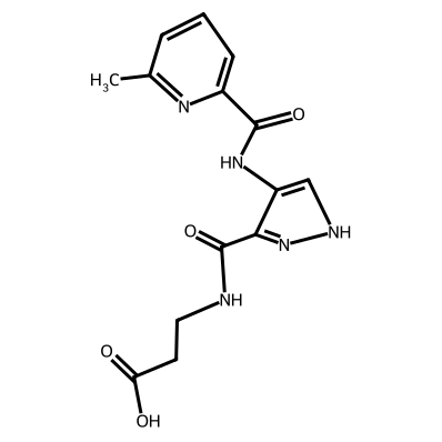 Cc1cccc(C(=O)Nc2c[nH]nc2C(=O)NCCC(=O)O)n1